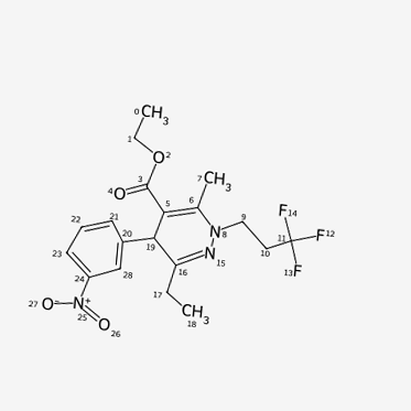 CCOC(=O)C1=C(C)N(CCC(F)(F)F)N=C(CC)C1c1cccc([N+](=O)[O-])c1